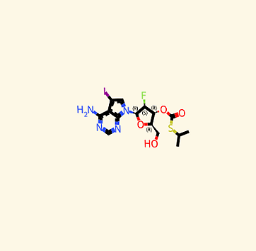 CC(C)SC(=O)O[C@H]1[C@H](F)[C@H](n2cc(I)c3c(N)ncnc32)O[C@@H]1CO